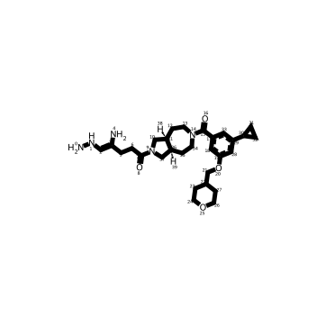 NN/C=C(\N)CCC(=O)N1C[C@H]2CCN(C(=O)c3cc(OCC4CCOCC4)cc(C4CC4)c3)CC[C@H]2C1